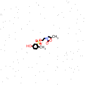 Cc1ccc(O)cc1S(=O)(=O)OCCN1C[C@H](C)OC1=O